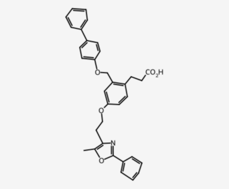 Cc1oc(-c2ccccc2)nc1CCOc1ccc(CCC(=O)O)c(COc2ccc(-c3ccccc3)cc2)c1